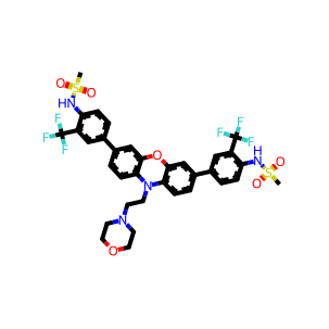 CS(=O)(=O)Nc1ccc(-c2ccc3c(c2)Oc2cc(-c4ccc(NS(C)(=O)=O)c(C(F)(F)F)c4)ccc2N3CCN2CCOCC2)cc1C(F)(F)F